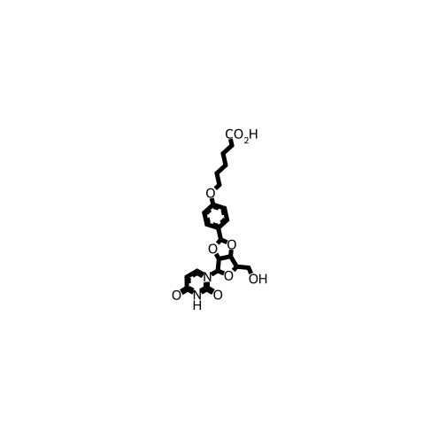 O=C(O)CCCCCOc1ccc(C2OC3C(CO)OC(n4ccc(=O)[nH]c4=O)C3O2)cc1